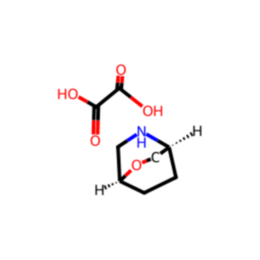 C1C[C@H]2CN[C@@H]1CO2.O=C(O)C(=O)O